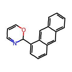 C1=COC(c2cccc3cc4ccccc4cc23)N=C1